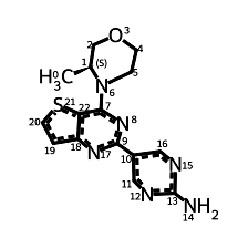 C[C@H]1COCCN1c1nc(-c2cnc(N)nc2)nc2ccsc12